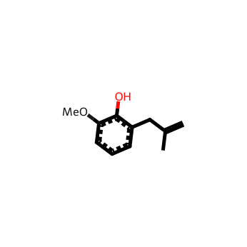 C=C(C)Cc1cccc(OC)c1O